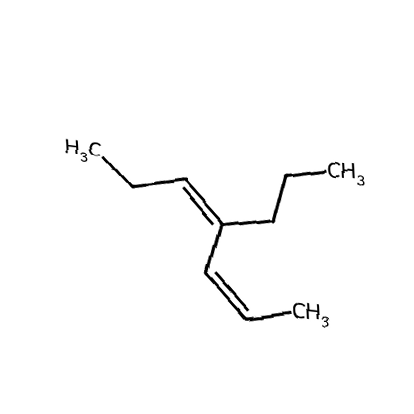 C/C=C\C(=C/CC)CCC